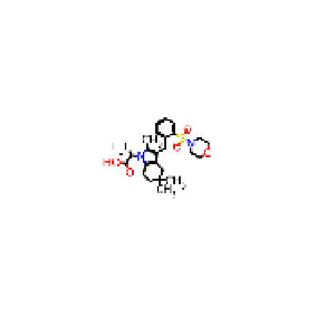 Cc1c(Cc2ccccc2S(=O)(=O)N2CCOCC2)c2c(n1C(C)C(=O)O)CCC(C)(C)C2